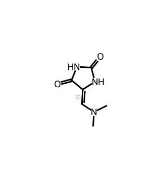 CN(C)/C=C1\NC(=O)NC1=O